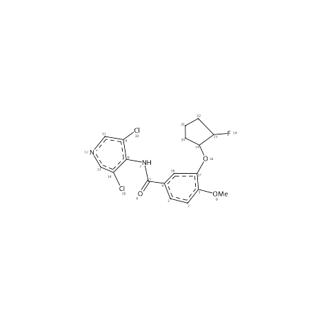 COc1ccc(C(=O)Nc2c(Cl)cncc2Cl)cc1OC1CCCC1F